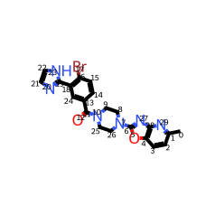 Cc1ccc2oc(N3CCN(C(=O)c4ccc(Br)c(-c5ncc[nH]5)c4)CC3)nc2n1